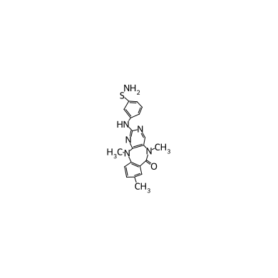 Cc1ccc2c(c1)C(=O)N(C)c1cnc(Nc3cccc(SN)c3)nc1N2C